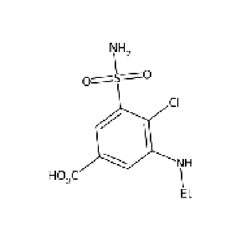 CCNc1cc(C(=O)O)cc(S(N)(=O)=O)c1Cl